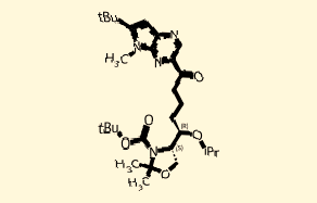 CC(C)O[C@H](CCCC(=O)c1cnc2cc(C(C)(C)C)n(C)c2n1)[C@@H]1COC(C)(C)N1C(=O)OC(C)(C)C